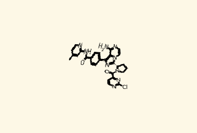 Cc1ccnc(NC(=O)c2ccc(-c3nc([C@@H]4CCCN4C(=O)c4ccnc(Cl)n4)n4ccnc(N)c34)cc2)c1